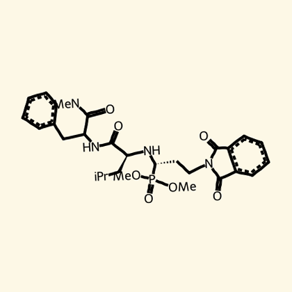 CNC(=O)C(Cc1ccccc1)NC(=O)[C@H](CC(C)C)N[C@H](CCN1C(=O)c2ccccc2C1=O)P(=O)(OC)OC